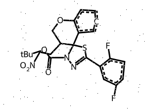 CC(C)(C)OC(=O)N1N=C(c2cc(F)ccc2F)SC12c1ccccc1OCC2CC[N+](=O)[O-]